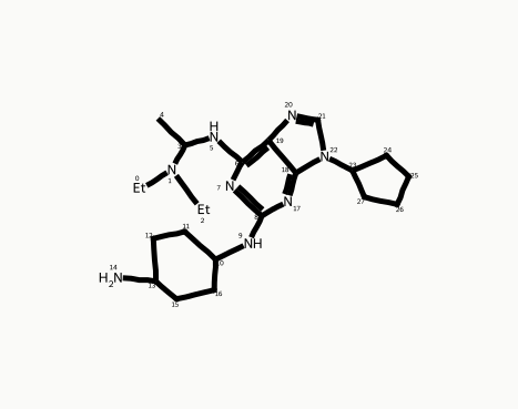 CCN(CC)C(C)Nc1nc(NC2CCC(N)CC2)nc2c1ncn2C1CCCC1